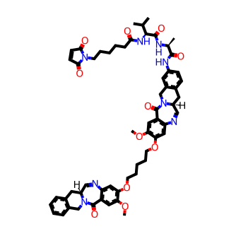 COc1cc2c(cc1OCCCCCOc1cc3c(cc1OC)C(=O)N1Cc4cc(NC(=O)[C@H](C)NC(=O)[C@@H](NC(=O)CCCCCN5C(=O)C=CC5=O)C(C)C)ccc4C[C@H]1C=N3)N=C[C@@H]1Cc3ccccc3CN1C2=O